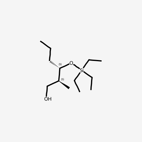 CCC[C@H](O[Si](CC)(CC)CC)[C@@H](C)CO